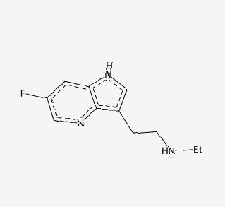 CCNCCc1c[nH]c2cc(F)cnc12